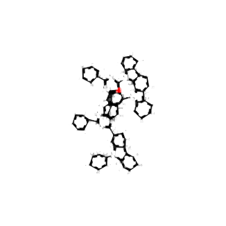 c1ccc(-c2nc(-c3cccc(-n4c5ccccc5c5ccc6c7ccccc7n(-c7nc(-c8ccccc8)nc(-c8ccccc8)n7)c6c54)c3)nc(-c3ccc4c5ccccc5n(-c5ccccc5)c4c3)n2)cc1